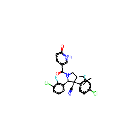 CC(C)(C)C[C@@H]1CN(C(=O)c2ccc(=O)[nH]c2)[C@H](c2cccc(Cl)c2F)[C@@]1(C#N)c1ccc(Cl)cc1F